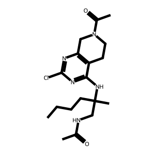 CCCCC(C)(CNC(C)=O)Nc1nc(Cl)nc2c1CCN(C(C)=O)C2